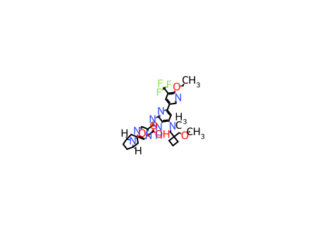 CCOc1ncc(-c2cc(N(C)CC3(COC)CCC3)c3[nH]c(-c4cnc(N5[C@@H]6CC[C@H]5C[C@H](OCC(=O)O)C6)cn4)nc3n2)cc1C(F)(F)F